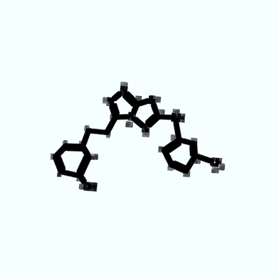 Oc1cccc(CCc2nnc3sc(Nc4cccc(C(F)(F)F)c4)nn23)c1